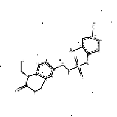 CCN1C(=O)CCc2cc(CNS(=O)(=O)Cc3ccc(F)cc3Cl)ccc21